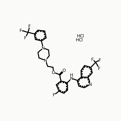 Cl.Cl.O=C(OCCN1CCN(c2cccc(C(F)(F)F)c2)CC1)c1cc(F)ccc1Nc1ccnc2cc(C(F)(F)F)ccc12